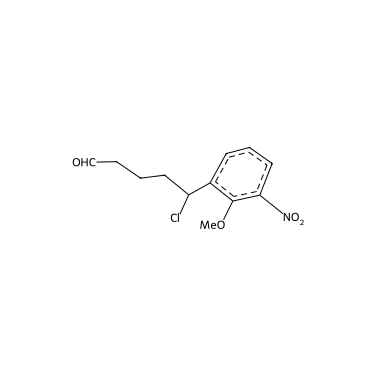 COc1c(C(Cl)CCCC=O)cccc1[N+](=O)[O-]